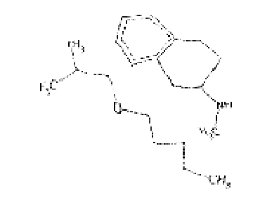 CCCCCOCC(C)C.CNC1CCc2ccccc2C1